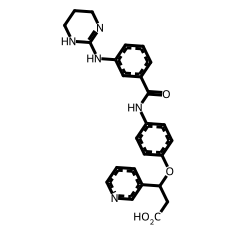 O=C(O)CC(Oc1ccc(NC(=O)c2cccc(NC3=NCCCN3)c2)cc1)c1cccnc1